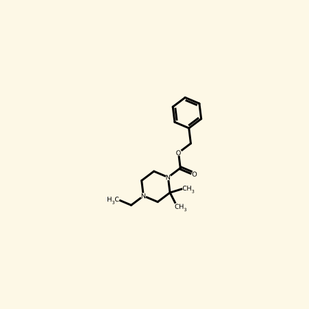 CCN1CCN(C(=O)OCc2ccccc2)C(C)(C)C1